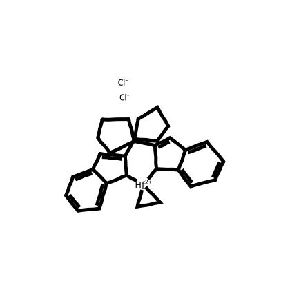 C1=C(C2CCCC2)[CH]([Hf+2]2([CH]3C(C4CCCC4)=Cc4ccccc43)[CH2][CH2]2)c2ccccc21.[Cl-].[Cl-]